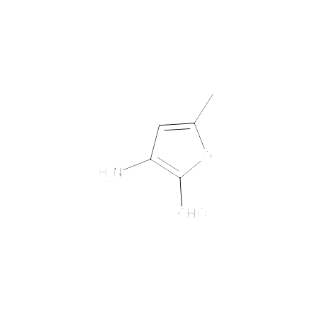 Cc1cc(N)c(C=O)o1